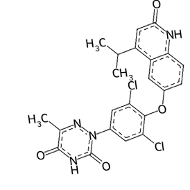 Cc1nn(-c2cc(Cl)c(Oc3ccc4[nH]c(=O)cc(C(C)C)c4c3)c(Cl)c2)c(=O)[nH]c1=O